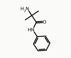 CC(C)(N)C(=O)Nc1[c]cccc1